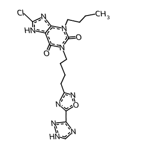 CCCCn1c(=O)n(CCCCc2noc(-c3nc[nH]n3)n2)c(=O)c2[nH]c(Cl)nc21